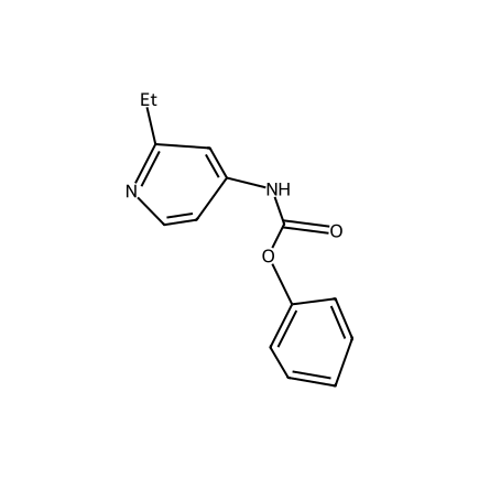 CCc1cc(NC(=O)Oc2ccccc2)ccn1